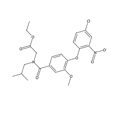 CCOC(=O)CN(CC(C)C)C(=O)c1ccc(Oc2ccc(Cl)cc2[N+](=O)[O-])c(OC)c1